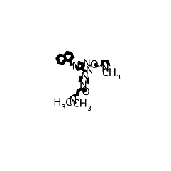 CN(C)C/C=C/C(=O)N1CCN(c2nc(OC[C@@H]3CCCN3C)nc3c2CN(Cc2cccc4ccccc24)C3)CC1